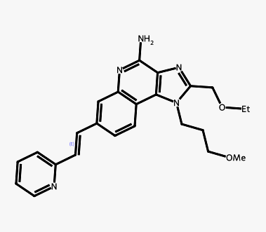 CCOCc1nc2c(N)nc3cc(/C=C/c4ccccn4)ccc3c2n1CCCOC